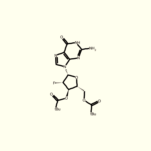 CC(C)(C)C(=O)OC[C@H]1O[C@@H](n2cnc3c(=O)[nH]c(N)nc32)[C@@H](F)[C@@H]1OC(=O)C(C)(C)C